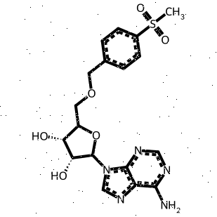 CS(=O)(=O)c1ccc(COCC2OC(n3cnc4c(N)ncnc43)[C@H](O)[C@@H]2O)cc1